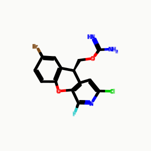 N=C(N)OC[C@@H]1c2cc(Br)ccc2Oc2c1cc(Cl)nc2F